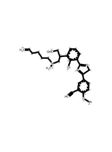 C#Cc1cc(C2=NC(c3cccc(C(CC=O)CN(C)CCCCC=C)c3CC)=NC2)ccc1OC(C)C